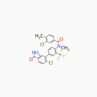 Cc1ccc(C(=O)N(C)c2ccc(-c3cc(C(N)=O)ccc3Cl)cc2C(F)(F)F)cc1Cl